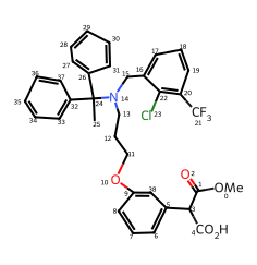 COC(=O)C(C(=O)O)c1cccc(OCCCN(Cc2cccc(C(F)(F)F)c2Cl)C(C)(c2ccccc2)c2ccccc2)c1